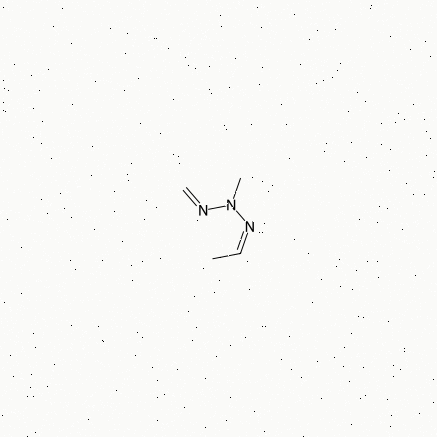 C=NN(C)/N=C\C